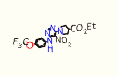 CCOC(=O)C1CCN(c2ncnc(Nc3ccc(OC(F)(F)F)cc3)c2[N+](=O)[O-])CC1